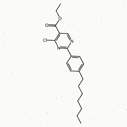 CCCCCCCc1ccc(-c2ncc(C(=O)OCC)c(Cl)n2)cc1